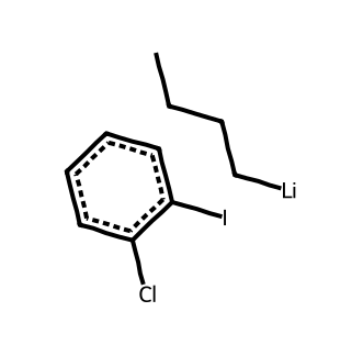 Clc1ccccc1I.[Li][CH2]CCC